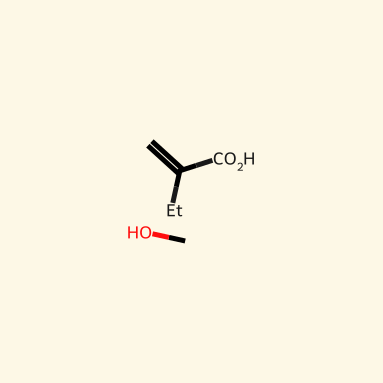 C=C(CC)C(=O)O.CO